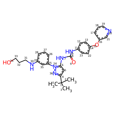 CC(C)(C)c1cc(NC(=O)Nc2ccc(Oc3cccnc3)cc2)n(-c2cccc(NCCCO)c2)n1